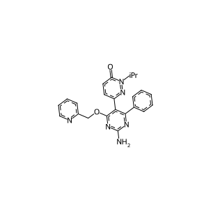 CC(C)n1nc(-c2c(OCc3ccccn3)nc(N)nc2-c2ccccc2)ccc1=O